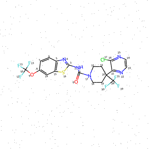 O=C(Nc1nc2ccc(OC(F)(F)F)cc2s1)N1CCC(c2nccnc2Cl)(C(F)(F)F)CC1